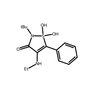 [CH2]CNC1=C(c2ccccc2)S(O)(O)N(C(C)(C)C)C1=O